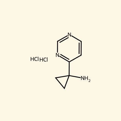 Cl.Cl.NC1(c2ccncn2)CC1